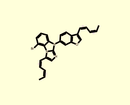 C/C=C\C=C/c1coc2cc(-n3c4cccc(Br)c4n4c(/C=C\C=C/C)cnc34)ccc12